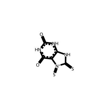 O=c1[nH]c2c(c(=O)[nH]1)[N+](=S)C(=S)N2